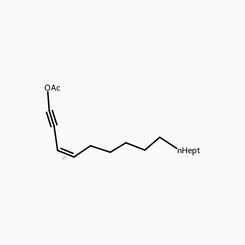 CCCCCCCCCCCC/C=C\C#COC(C)=O